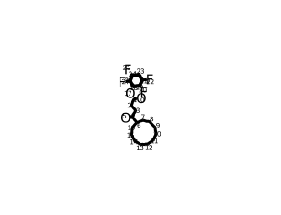 O=C(CCC(=O)C1CCCCCCCCCC1)Oc1c(F)c(F)cc(F)c1F